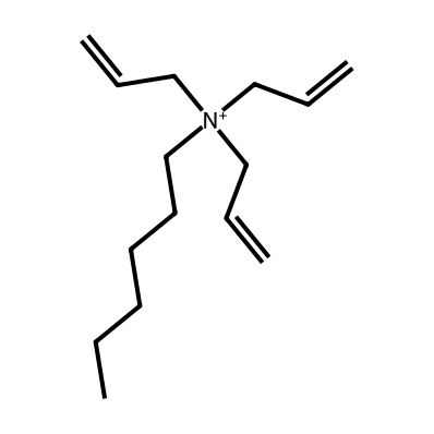 C=CC[N+](CC=C)(CC=C)CCCCCC